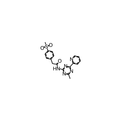 Cc1nc(NC(=O)Cc2ccc(S(C)(=O)=O)cc2)nc(-c2ccccn2)n1